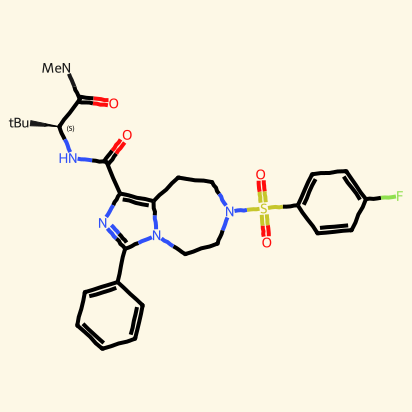 CNC(=O)[C@@H](NC(=O)c1nc(-c2ccccc2)n2c1CCN(S(=O)(=O)c1ccc(F)cc1)CC2)C(C)(C)C